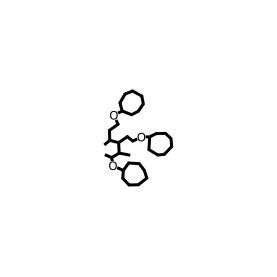 CC(CCOC1CCCCCCC1)C(CCOC1CCCCCCC1)C(C)C(C)OC1CCCCCCC1